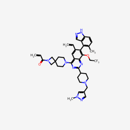 C=CC(=O)N1CC2(CCN(c3nc(C4CCN(Cc5cnn(C)c5)CC4)nc4c(OCC(F)(F)F)c(-c5c(C)ccc6[nH]ncc56)c(C=C)cc34)CC2)C1